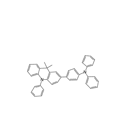 CC1(C)c2ccccc2N(c2ccccc2)c2ccc(-c3ccc(N(c4ccccc4)c4ccccc4)cc3)cc21